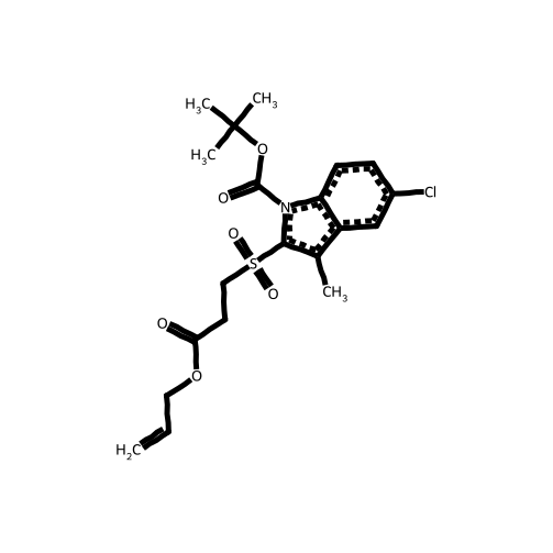 C=CCOC(=O)CCS(=O)(=O)c1c(C)c2cc(Cl)ccc2n1C(=O)OC(C)(C)C